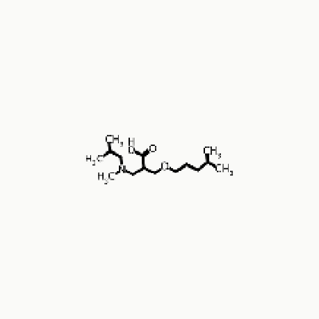 CC(C)CCCOCC(CN(C)CC(C)C)C(=O)O